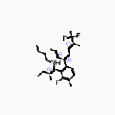 C/C=C/C(=C\C=C(/C)C(C)(F)F)c1ccc(C)c(F)c1/C(NCCCC)=C(\C)CC